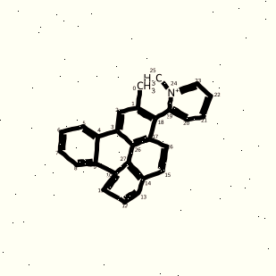 Cc1cc2c3ccccc3c3cccc4ccc(c1-c1cccc[n+]1C)c2c43